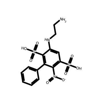 NCCNc1cc(S(=O)(=O)O)c([N+](=O)[O-])c(-c2ccccc2)c1S(=O)(=O)O